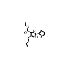 C=CCCc1[nH]c(-c2cccs2)nc1C(=O)OCC